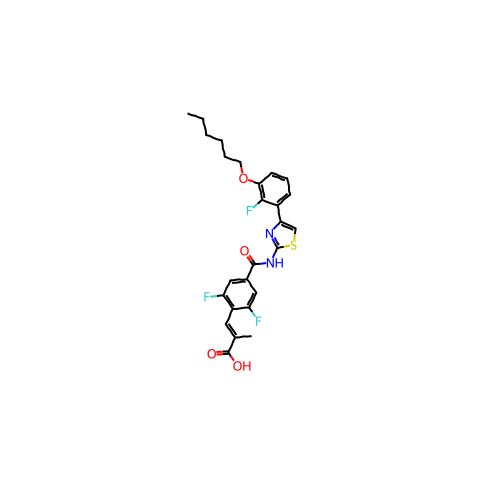 CCCCCCOc1cccc(-c2csc(NC(=O)c3cc(F)c(C=C(C)C(=O)O)c(F)c3)n2)c1F